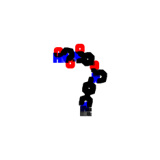 CCN1CCC(c2ccc(CN3CCCC[C@@H]3COc3ccc4c(c3)CN(C3CCC(=O)NC3=O)C4=O)cc2)CC1